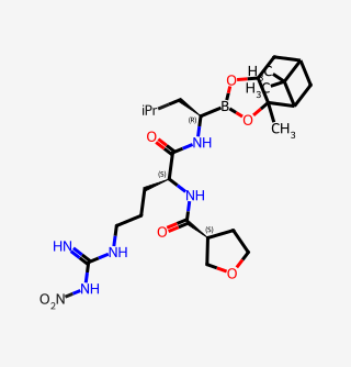 CC(C)C[C@H](NC(=O)[C@H](CCCNC(=N)N[N+](=O)[O-])NC(=O)[C@H]1CCOC1)B1OC2CC3CC(C3(C)C)C2(C)O1